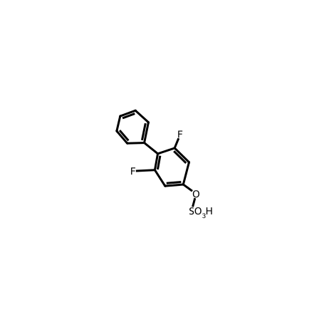 O=S(=O)(O)Oc1cc(F)c(-c2ccccc2)c(F)c1